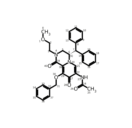 COCCN1C[C@H](C(c2ccccc2)c2ccccc2)n2cc(NC(C)=O)c(=O)c(OCc3ccccc3)c2C1=O